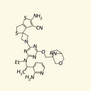 CCN(c1nc(OCC23CCC(COC2)N3)nc(N2CC3(C2)SCc2sc(N)c(C#N)c23)n1)[C@H](C)c1cccnc1N